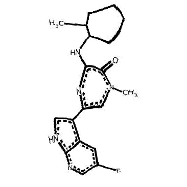 CC1CCCCC1Nc1nc(-c2c[nH]c3ncc(F)cc23)cn(C)c1=O